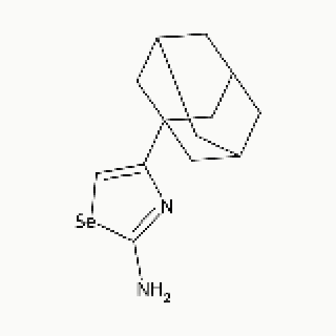 Nc1nc(C23CC4CC(CC(C4)C2)C3)c[se]1